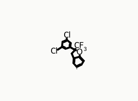 FC(F)(F)C1(c2cc(Cl)cc(Cl)c2)Cc2c[c]ccc2O1